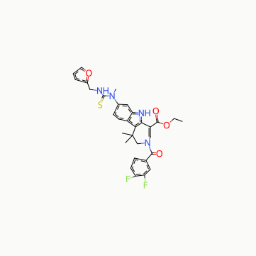 CCOC(=O)C1=CN(C(=O)c2ccc(F)c(F)c2)CC(C)(C)c2c1[nH]c1cc(N(C)C(=S)NCc3ccco3)ccc21